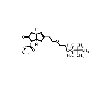 COC(=O)[C@@H]1C(=O)C[C@H]2C=C(CCOCCO[Si](C)(C)C(C)(C)C)C[C@@H]12